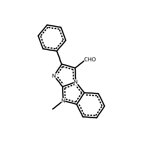 Cn1c2ccccc2n2c(C=O)c(-c3ccccc3)nc12